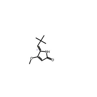 COC1=CC(=O)N/C1=C\C(C)(C)C